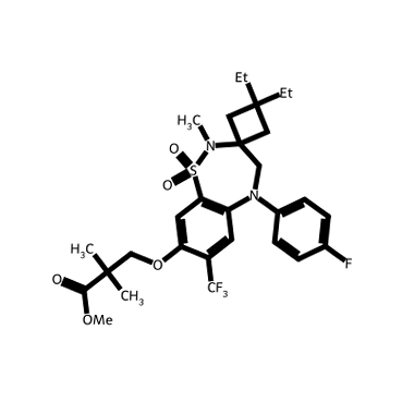 CCC1(CC)CC2(CN(c3ccc(F)cc3)c3cc(C(F)(F)F)c(OCC(C)(C)C(=O)OC)cc3S(=O)(=O)N2C)C1